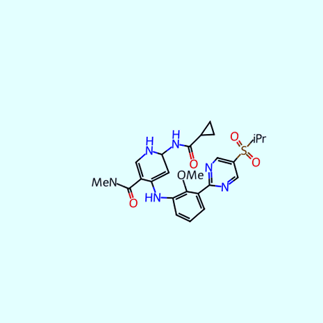 CNC(=O)C1=CNC(NC(=O)C2CC2)C=C1Nc1cccc(-c2ncc(S(=O)(=O)C(C)C)cn2)c1OC